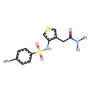 CCCc1ccc(S(=O)(=O)Nc2cscc2CC(=O)N(CC)CC)cc1